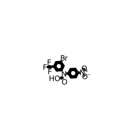 O=C(O)N(c1ccc([N+](=O)[O-])cc1)c1cc(Br)cc(C(F)(F)F)c1